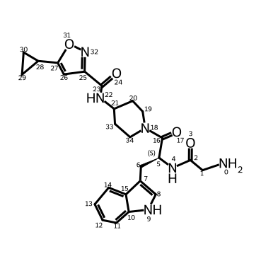 NCC(=O)N[C@@H](Cc1c[nH]c2ccccc12)C(=O)N1CCC(NC(=O)c2cc(C3CC3)on2)CC1